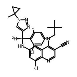 [2H][C@@](Nc1cc(Cl)c2ncc(C#N)c(NCC(C)(C)C)c2c1)(c1cn(C2(C)CC2)nn1)c1c(F)cccc1Cl